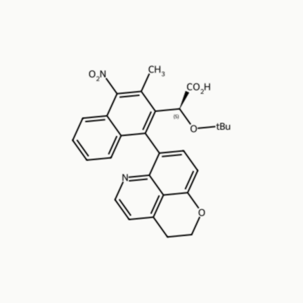 Cc1c([C@H](OC(C)(C)C)C(=O)O)c(-c2ccc3c4c(ccnc24)CCO3)c2ccccc2c1[N+](=O)[O-]